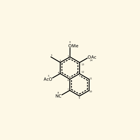 COc1c(C)c(OC(C)=O)c2c(C#N)cccc2c1OC(C)=O